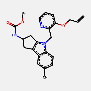 C=CCOc1cccnc1Cn1c2c(c3cc(C#N)ccc31)CC(NC(=O)OC(C)C)C2